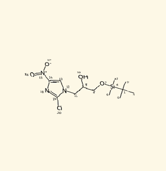 CC(C)(C)[Si](C)(C)OCC(O)Cn1cc([N+](=O)[O-])nc1Cl